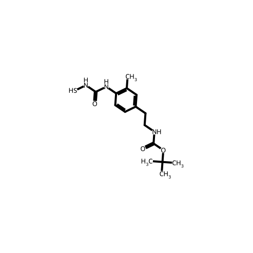 Cc1cc(CCNC(=O)OC(C)(C)C)ccc1NC(=O)NS